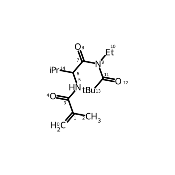 C=C(C)C(=O)NC(C(=O)N(CC)C(=O)C(C)(C)C)C(C)C